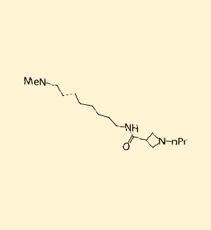 CCCN1CC(C(=O)NCCCCCCCCNC)C1